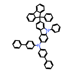 c1ccc(-c2ccc(N(c3ccc(-c4ccccc4)cc3)c3ccc4c(c3)c3ccc(C5(c6ccccc6)c6ccccc6-c6ccccc65)cc3n4-c3ccccc3)cc2)cc1